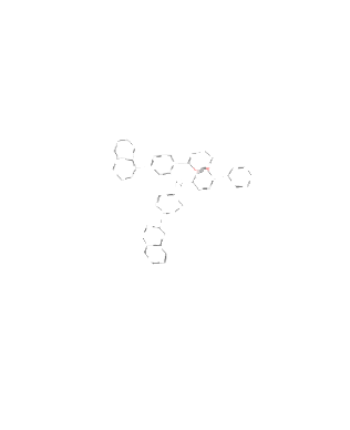 c1ccc(-c2ccc(N(c3ccc(-c4ccc5ccccc5c4)cc3)c3cc(-c4cccc5ccccc45)ccc3-c3ccccc3)cc2)cc1